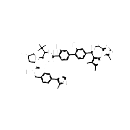 Cc1ncsc1-c1ccc([C@H](C)NC(=O)[C@@H]2C[C@@H](O)CN2C(=O)C(NC(=O)c2ccc(-c3ccc(C4=N[C@@H](C)c5nnc(C)n5-c5sc(C)c(C)c54)cc3F)cc2F)C(C)(C)C)cc1